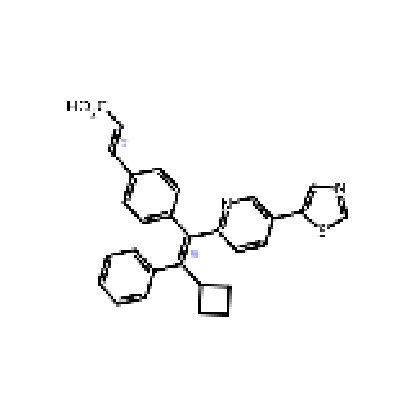 O=C(O)/C=C/c1ccc(/C(=C(\c2ccccc2)C2CCC2)c2ccc(-c3cncs3)cn2)cc1